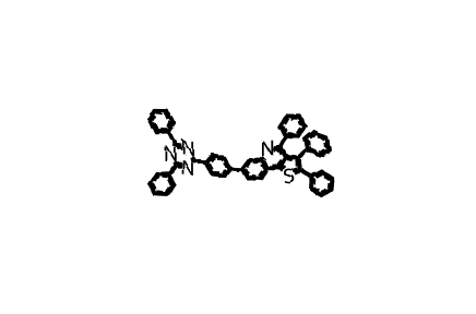 c1ccc(-c2nc(-c3ccccc3)nc(-c3ccc(-c4ccc5c(c4)nc(-c4ccccc4)c4c(-c6ccccc6)c(-c6ccccc6)sc45)cc3)n2)cc1